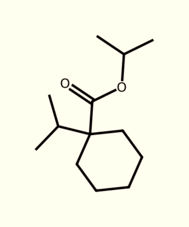 CC(C)OC(=O)C1(C(C)C)CCCCC1